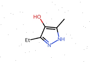 CCc1n[nH]c(C)c1O